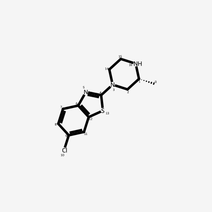 C[C@@H]1CN(c2nc3ccc(Cl)cc3s2)CCN1